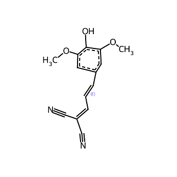 COc1cc(/C=C/C=C(C#N)C#N)cc(OC)c1O